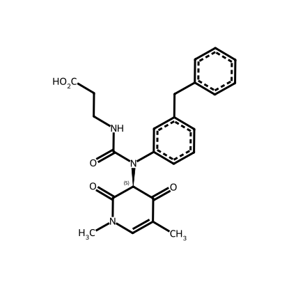 CC1=CN(C)C(=O)[C@@H](N(C(=O)NCCC(=O)O)c2cccc(Cc3ccccc3)c2)C1=O